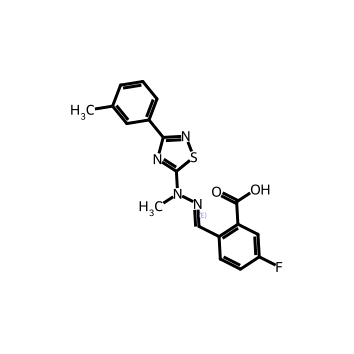 Cc1cccc(-c2nsc(N(C)/N=C/c3ccc(F)cc3C(=O)O)n2)c1